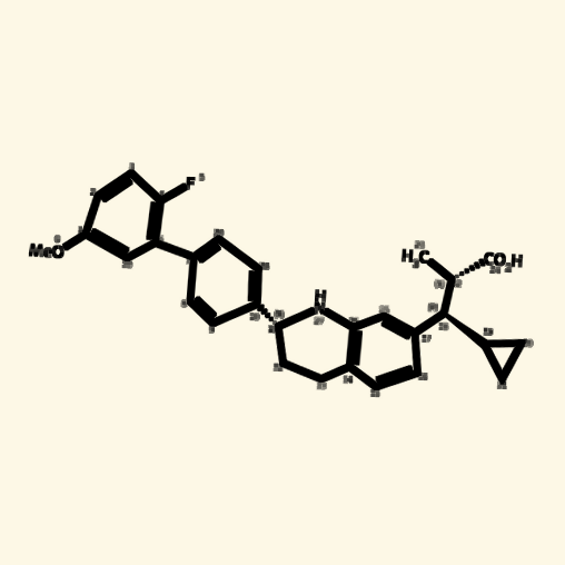 COc1ccc(F)c(-c2ccc([C@H]3CCc4ccc([C@H](C5CC5)[C@H](C)C(=O)O)cc4N3)cc2)c1